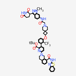 Cn1nc(C2CCC(=O)NC2=O)c2ccc(NC(=O)CN3CCC4(CC3)CC(Oc3cccc(-c5ccc(N6CCc7cccc(C(=O)Nc8nc9ccccc9s8)c7C6)nc5C(=O)OC(C)(C)C)c3C(F)(F)F)C4)cc21